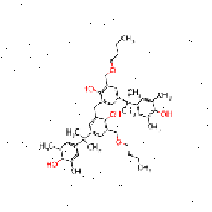 CCCCOCc1cc(C(C)(C)c2cc(C)c(O)c(C)c2)cc(Cc2cc(C(C)(C)c3cc(C)c(O)c(C)c3)cc(COCCCC)c2O)c1O